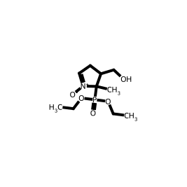 CCOP(=O)(OCC)C1(C)C(CO)CC=[N+]1[O-]